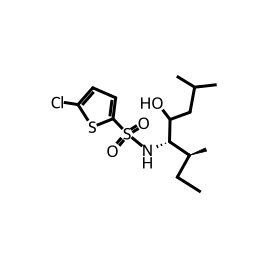 CC[C@H](C)[C@H](NS(=O)(=O)c1ccc(Cl)s1)C(O)CC(C)C